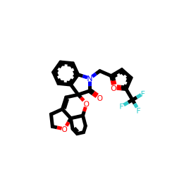 O=C1N(Cc2ccc(C(F)(F)F)o2)c2ccccc2C12C=C1CCOC13C=CCCC3O2